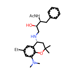 CCc1cc2c(c(N(C)C)c1)OC(C)(C)C[C@H]2NC[C@@H](O)[C@H](Cc1ccccc1)NC(C)=O